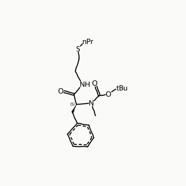 CCCSCCNC(=O)[C@H](Cc1ccccc1)N(C)C(=O)OC(C)(C)C